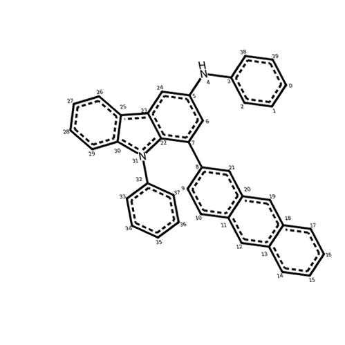 c1ccc(Nc2cc(-c3ccc4cc5ccccc5cc4c3)c3c(c2)c2ccccc2n3-c2ccccc2)cc1